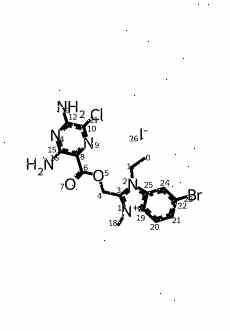 CCn1c(COC(=O)c2nc(Cl)c(N)nc2N)[n+](C)c2ccc(Br)cc21.[I-]